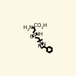 CC(C)(CCS(=N)(=O)CC[C@H](N)C(=O)O)n1ncc(-c2ccccc2)n1